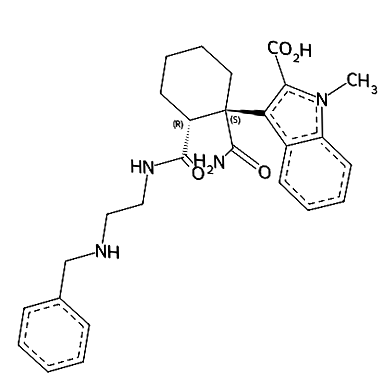 Cn1c(C(=O)O)c([C@]2(C(N)=O)CCCC[C@H]2C(=O)NCCNCc2ccccc2)c2ccccc21